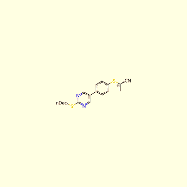 CCCCCCCCCCSc1ncc(-c2ccc(S[C@H](C)C#N)cc2)cn1